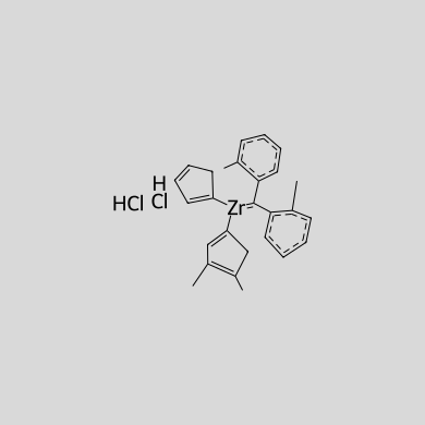 CC1=C(C)C[C]([Zr]([C]2=CC=CC2)=[C](c2ccccc2C)c2ccccc2C)=C1.Cl.Cl